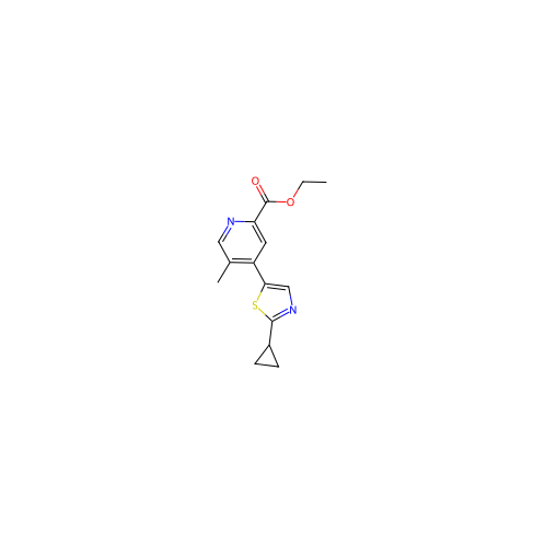 CCOC(=O)c1cc(-c2cnc(C3CC3)s2)c(C)cn1